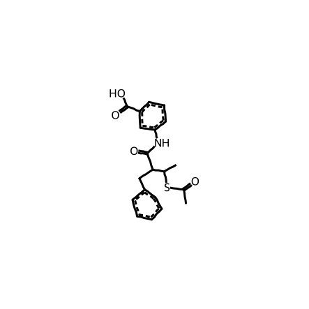 CC(=O)SC(C)C(Cc1ccccc1)C(=O)Nc1cccc(C(=O)O)c1